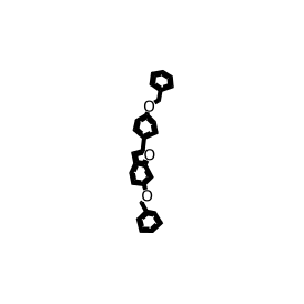 c1ccc(COc2ccc(-c3cc4ccc(OCc5ccccc5)cc4o3)cc2)cc1